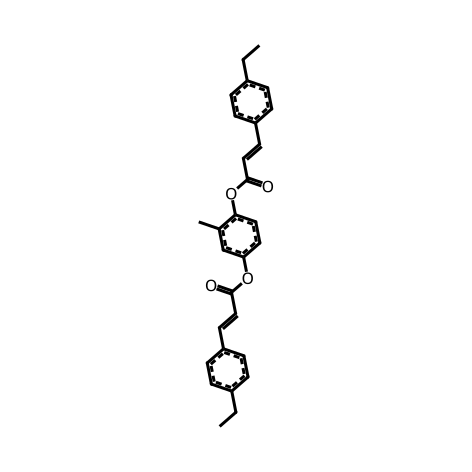 CCc1ccc(/C=C/C(=O)Oc2ccc(OC(=O)/C=C/c3ccc(CC)cc3)c(C)c2)cc1